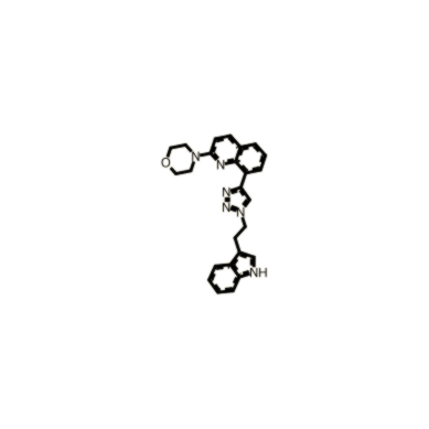 c1cc(-c2cn(CCc3c[nH]c4ccccc34)nn2)c2nc(N3CCOCC3)ccc2c1